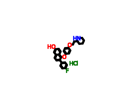 Cl.Oc1ccc2c(Oc3ccc(OCCC4CCCCN4)cc3)c(-c3ccc(F)cc3)ccc2c1